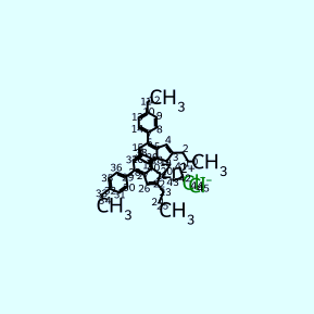 CCCC1=Cc2c(-c3ccc(CC)cc3)cccc2[CH]1[Zr+2]1([CH]2C(CCC)=Cc3c(-c4ccc(CC)cc4)cccc32)[CH2]C[CH2]1.[Cl-].[Cl-]